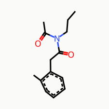 CCCN(C(C)=O)C(=O)Cc1ccccc1C